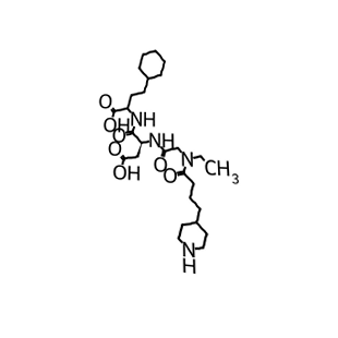 CCN(CC(=O)N[C@@H](CC(=O)O)C(=O)NC(CCC1CCCCC1)C(=O)O)C(=O)CCCC1CCNCC1